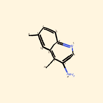 Cc1ccc2ncc(N)c(C)c2c1